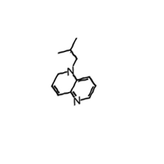 C[C](C)CN1CC=Cc2ncccc21